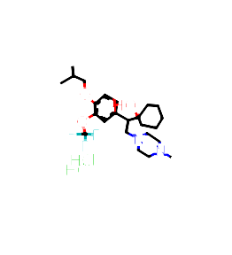 CC(C)COc1ccc(C(CN2CCN(C)CC2)C2(O)CCCCC2)cc1OC(F)(F)F.Cl.Cl